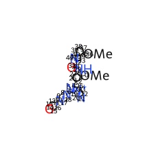 COc1cc(C2=NC(N3CCN(C4CCOCC4)CC3)=C3C=NC=C[N+]23C)ccc1NC(=O)c1cc2c(OC)cccc2n1C